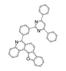 c1ccc(-c2cc(-c3ccccc3)nc(-c3cccc(-c4nc5ccccc5c5c4ccc4c6ccccc6oc45)c3)n2)cc1